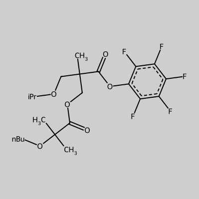 CCCCOC(C)(C)C(=O)OCC(C)(COC(C)C)C(=O)Oc1c(F)c(F)c(F)c(F)c1F